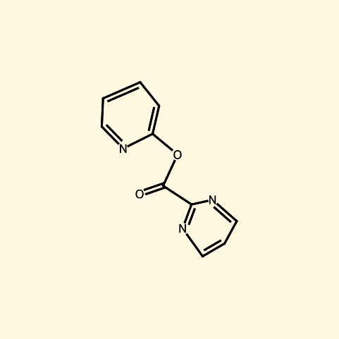 O=C(Oc1ccccn1)c1ncccn1